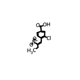 CCC(=Cc1ccc(C(=O)O)cc1Cl)[N+](=O)[O-]